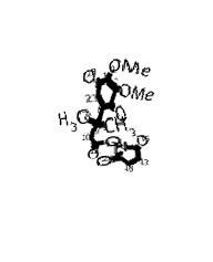 COC1=C(OC)C(=O)C(C(C)(C)CC(=O)ON2C(=O)CCC2=O)=CC1=O